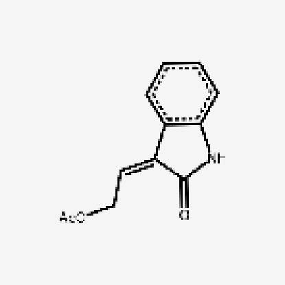 CC(=O)OCC=C1C(=O)Nc2ccccc21